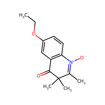 CCOc1ccc2c(c1)C(=O)C(C)(C)C(C)=[N+]2[O-]